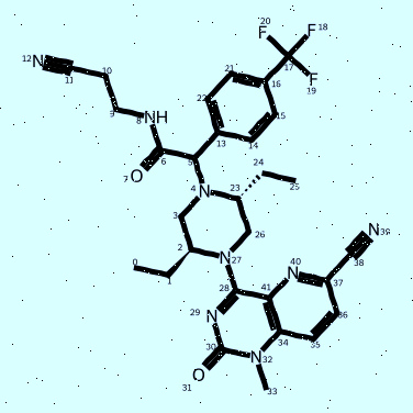 CC[C@H]1CN(C(C(=O)NCCC#N)c2ccc(C(F)(F)F)cc2)[C@H](CC)CN1c1nc(=O)n(C)c2ccc(C#N)nc12